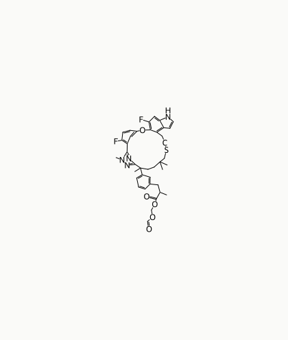 CC(Cc1cccc(C2(C)CCC(C)(C)CSCCc3c(c(F)cc4[nH]ccc34)Oc3ccc(F)c(c3)-c3nc2nn3C)c1)C(=O)OCOC=O